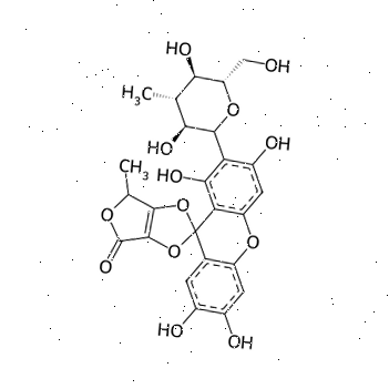 CC1OC(=O)C2=C1OC1(O2)c2cc(O)c(O)cc2Oc2cc(O)c(C3O[C@@H](CO)[C@H](O)[C@@H](C)[C@@H]3O)c(O)c21